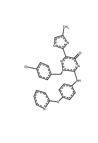 Cc1coc(-c2nn(Cc3ccc(Cl)cc3)c(Nc3ccc(Oc4ccccn4)cc3)nc2=O)n1